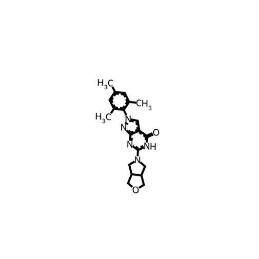 Cc1cc(C)c(-n2cc3c(=O)[nH]c(N4CC5COCC5C4)nc3n2)c(C)c1